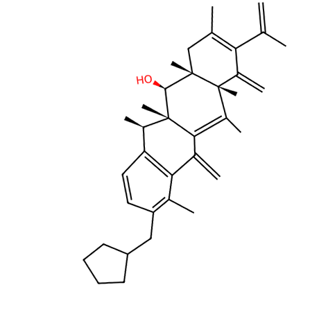 C=C(C)C1=C(C)C[C@@]2(C)[C@H](O)[C@]3(C)C(=C(C)[C@@]2(C)C1=C)C(=C)c1c(ccc(CC2CCCC2)c1C)[C@H]3C